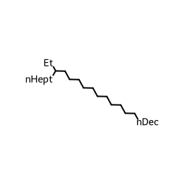 [CH2]CC(CCCCCCC)CCCCCCCCCCCCCCCCCCCCC